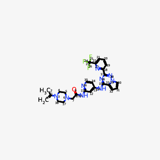 C=C(C)N1CCN(CC(=O)Nc2cc(Nc3nc(-c4cccc(C(F)(F)F)n4)nn4cccc34)ccn2)CC1